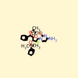 C[SiH](C)OC(C1CC2CCC1C2)C1OC(n2ccc(N)nc2=O)C(F)(F)C1O[Si](C)(C)C1CC2CCC1C2